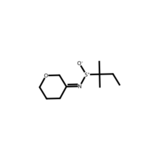 CCC(C)(C)[S+]([O-])/N=C1/CCCOC1